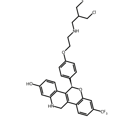 Oc1ccc2c(c1)NCC1=C2[C@@H](c2ccc(OCCNCC(CF)CCl)cc2)Oc2cc(C(F)(F)F)ccc21